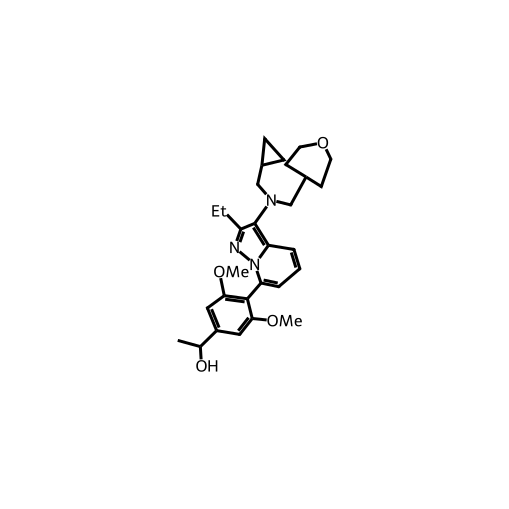 CCc1nn2c(-c3c(OC)cc(C(C)O)cc3OC)cccc2c1N(CC1CCOCC1)CC1CC1